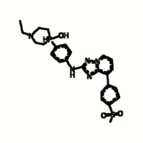 CCN1CC[PH](O)(c2ccc(Nc3nc4c(-c5ccc(S(C)(=O)=O)cc5)cccn4n3)cc2)CC1